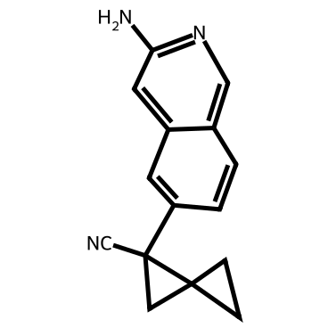 N#CC1(c2ccc3cnc(N)cc3c2)CC12CC2